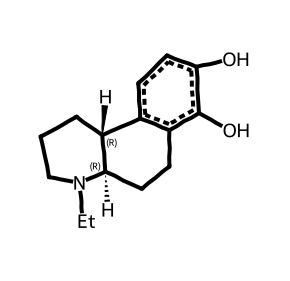 CCN1CCC[C@@H]2c3ccc(O)c(O)c3CC[C@H]21